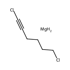 ClC#CCCCCCl.[MgH2]